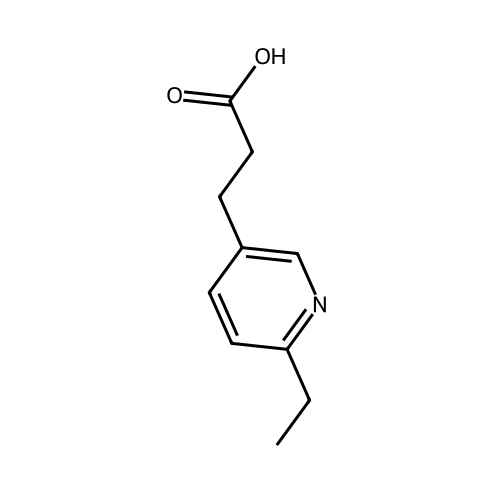 CCc1ccc(CCC(=O)O)cn1